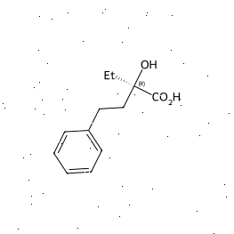 CC[C@@](O)(CCc1ccccc1)C(=O)O